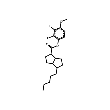 CCCCCC1CCC2C(C(=O)Oc3ccc(OC)c(F)c3F)CCC12